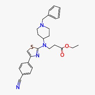 CCOC(=O)CCN(c1nc(-c2ccc(C#N)cc2)cs1)C1CCN(Cc2ccccc2)CC1